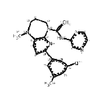 C=C(Nc1cnccn1)N1CCCN(C)c2ccc(-c3cc(C)cc(Cl)c3)nc21